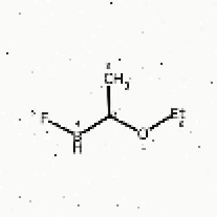 CCOC(C)BF